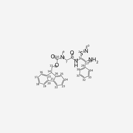 C=NS/C(NC(=O)CN(C)C(=O)OCC1c2ccccc2-c2ccccc21)=C(\N)c1ccccc1